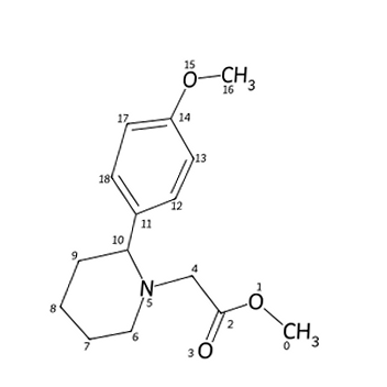 COC(=O)CN1CCCCC1c1ccc(OC)cc1